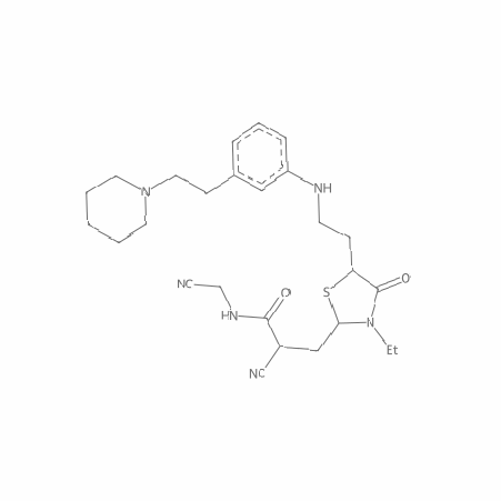 CCN1C(=O)C(CCNc2cccc(CCN3CCCCC3)c2)SC1CC(C#N)C(=O)NCC#N